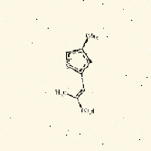 COc1csc(C=C(C)C(=O)O)c1